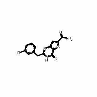 NC(=O)c1cc2nc(Cc3cccc(Cl)c3)[nH]c(=O)c2s1